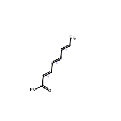 C/C=C/C=C/C=C/C([NH])=O